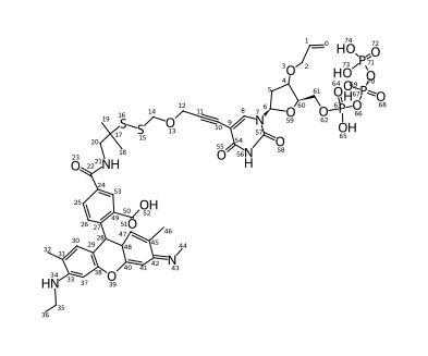 C=CCOC1C[C@H](n2cc(C#CCOCSSC(C)(C)CNC(=O)c3ccc(C4c5cc(C)c(NCC)cc5OC5=C/C(=N/C)C(C)=CC54)c(C(=O)O)c3)c(=O)[nH]c2=O)O[C@@H]1COP(=O)(O)OP(=O)(O)OP(=O)(O)O